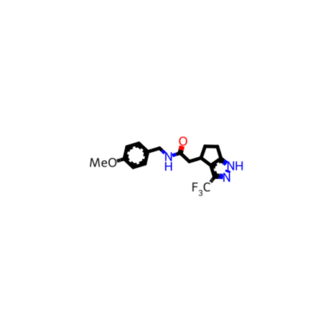 COc1ccc(CNC(=O)CC2CCc3[nH]nc(C(F)(F)F)c32)cc1